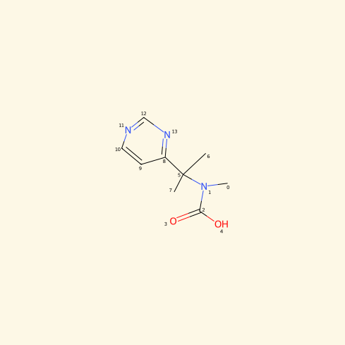 CN(C(=O)O)C(C)(C)c1ccncn1